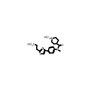 CN(C(=O)C1CCNCC1)c1ccc(-c2csc(CCC(=O)O)n2)cc1.Cl